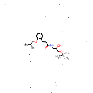 CCCCC(CC)COc1ccccc1C=CC(=O)NCC(O)CO[Si](C)(C)C(C)(C)C